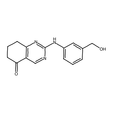 O=C1CCCc2nc(Nc3cccc(CO)c3)ncc21